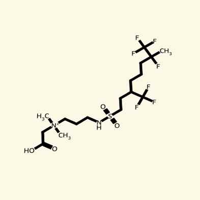 CC(F)(CCCC(CCS(=O)(=O)NCCC[N+](C)(C)CC(=O)O)C(F)(F)F)C(F)(F)F